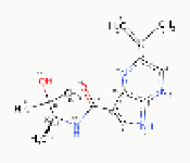 C=C(C)c1cnc2[nH]cc(C(=O)N[C@@H](C)C(C)(C)O)c2n1